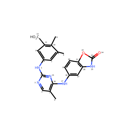 Cc1cnc(Nc2cc(C)c(C)c(C(=O)O)c2)nc1Nc1ccc2oc(=O)[nH]c2c1